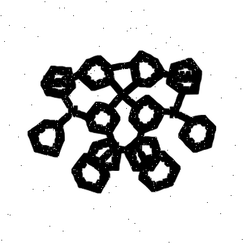 COc1ccc2c(c1)C(c1cc(N(c3ccccc3)c3ccccc3)cc(N(c3ccccc3)c3ccccc3)c1)(c1cc(N(c3ccccc3)c3ccccc3)cc(N(c3ccccc3)c3ccccc3)c1)c1cc(OC)ccc1-2